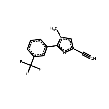 C#Cc1[c]n(C)c(-c2cccc(C(F)(F)F)c2)n1